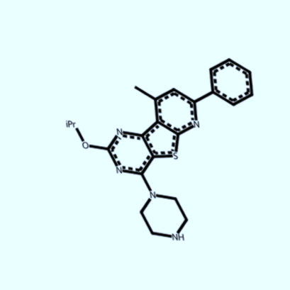 Cc1cc(-c2ccccc2)nc2sc3c(N4CCNCC4)nc(OC(C)C)nc3c12